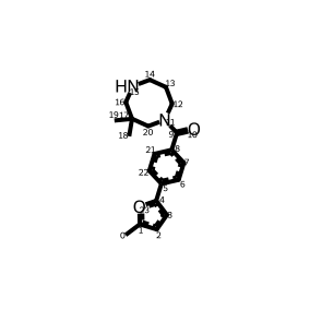 Cc1ccc(-c2ccc(C(=O)N3CCCNCC(C)(C)C3)cc2)o1